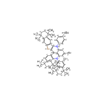 Cc1cc2c(cc1N1c3cc(C(C)(C)C)cc4c3B(c3ccc5c(c31)C(C)(C)CCC5(C)C)c1sc3cc5c(cc3c1N4c1ccc(C(C)(C)C)cc1)C(C)(C)CCC5(C)C)C(C)(C)CCC2(C)C